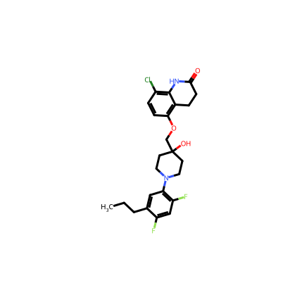 CCCc1cc(N2CCC(O)(COc3ccc(Cl)c4c3CCC(=O)N4)CC2)c(F)cc1F